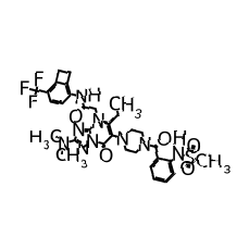 CCc1c(N2CCN(C(=O)c3ccccc3NS(C)(=O)=O)CC2)c(=O)n2nc(N(C)C)nc2n1CC(=O)Nc1ccc(C(F)(F)F)c2c1CC2